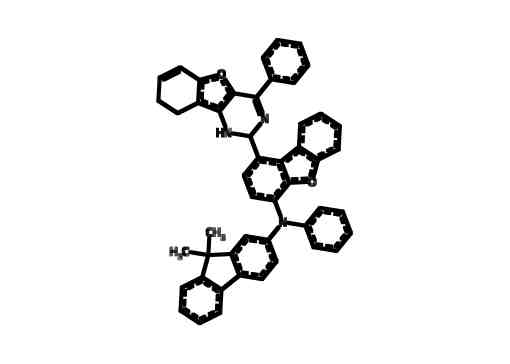 CC1(C)c2ccccc2-c2ccc(N(c3ccccc3)c3ccc(C4N=C(c5ccccc5)c5oc6c(c5N4)CCC=C6)c4c3oc3ccccc34)cc21